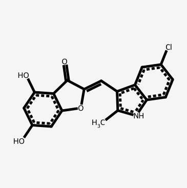 Cc1[nH]c2ccc(Cl)cc2c1C=C1Oc2cc(O)cc(O)c2C1=O